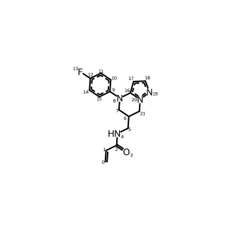 C=CC(=O)NCC1CN(c2ccc(F)cc2)c2ccnn2C1